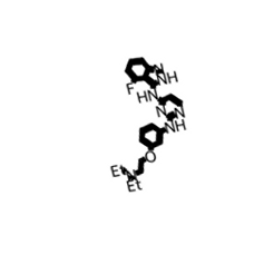 CCN(CC)CCOc1cccc(Nc2nccc(Nc3[nH]nc4cccc(F)c34)n2)c1